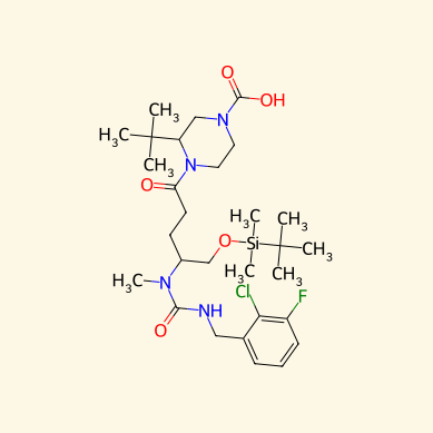 CN(C(=O)NCc1cccc(F)c1Cl)C(CCC(=O)N1CCN(C(=O)O)CC1C(C)(C)C)CO[Si](C)(C)C(C)(C)C